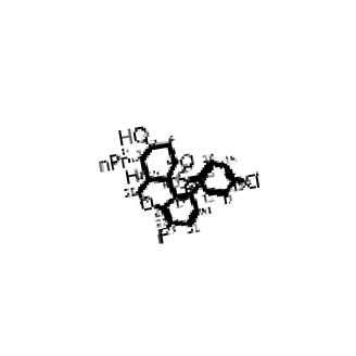 CCC[C@@H]1[C@H](O)CC[C@@]2(S(=O)(=O)c3ccc(Cl)cc3)c3c(F)ccc(F)c3OC[C@@H]12